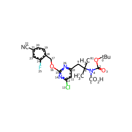 CC(C)(C)OC(=O)N(C(=O)O)C(C)(C)Cc1cc(Cl)nc(OCc2ccc(C#N)cc2F)n1